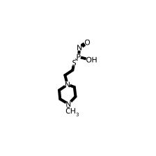 CN1CCN(CCSP(O)N=O)CC1